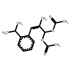 CC(=O)OC(OC(C)=O)C(C)=Cc1ccccc1C(C)C